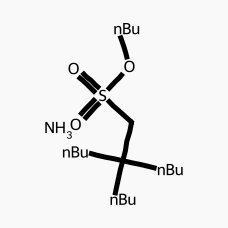 CCCCOS(=O)(=O)CC(CCCC)(CCCC)CCCC.N